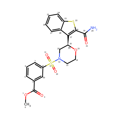 COC(=O)c1cccc(S(=O)(=O)N2CCO[C@H](c3c(C(N)=O)sc4ccccc34)C2)c1